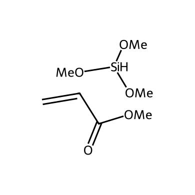 C=CC(=O)OC.CO[SiH](OC)OC